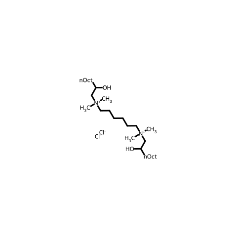 CCCCCCCCC(O)C[N+](C)(C)CCCCCC[N+](C)(C)CC(O)CCCCCCCC.[Cl-].[Cl-]